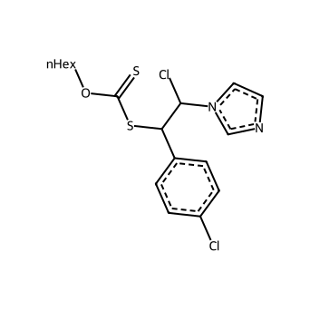 CCCCCCOC(=S)SC(c1ccc(Cl)cc1)C(Cl)n1ccnc1